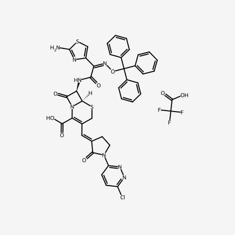 Nc1nc(/C(=N/OC(c2ccccc2)(c2ccccc2)c2ccccc2)C(=O)N[C@@H]2C(=O)N3C(C(=O)O)=C(/C=C4\CCN(c5ccc(Cl)nn5)C4=O)CS[C@H]23)cs1.O=C(O)C(F)(F)F